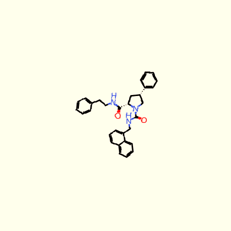 O=C(NCCc1ccccc1)[C@@H]1C[C@H](c2ccccc2)CN1C(=O)NCc1cccc2ccccc12